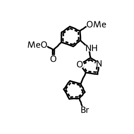 COC(=O)c1ccc(OC)c(Nc2ncc(-c3cccc(Br)c3)o2)c1